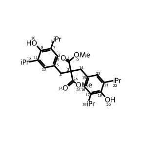 COC(=O)C(Cc1cc(C(C)C)c(O)c(C(C)C)c1)(Cc1cc(C(C)C)c(O)c(C(C)C)c1)C(=O)OC